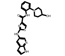 O=C(Nc1ccccc1N1CCC(O)CC1)c1csc(Nc2cnc3[nH]ccc3c2)n1